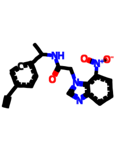 C#Cc1ccc(C(C)NC(=O)Cn2cnc3cccc([N+](=O)[O-])c32)cc1